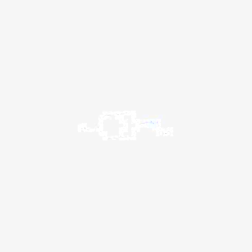 CCC1CC2CC(C1)CC(NC=O)C2